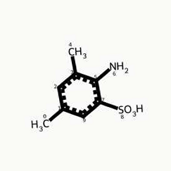 Cc1cc(C)c(N)c(S(=O)(=O)O)c1